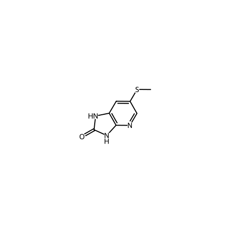 CSc1cnc2[nH]c(=O)[nH]c2c1